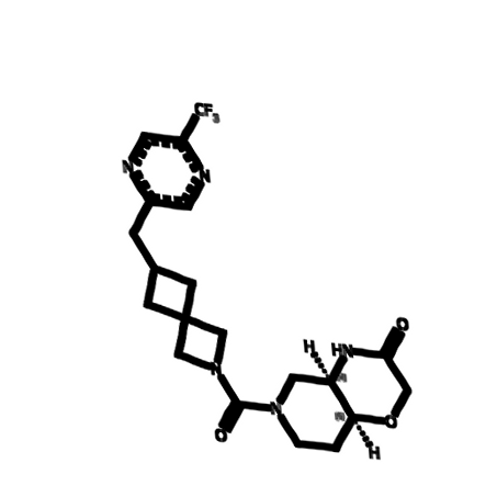 O=C1CO[C@H]2CCN(C(=O)N3CC4(CC(Cc5cnc(C(F)(F)F)cn5)C4)C3)C[C@H]2N1